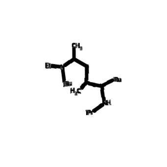 CCC(C)C(NC(C)C)C(C)CC(C)N(CC)C(C)(C)C